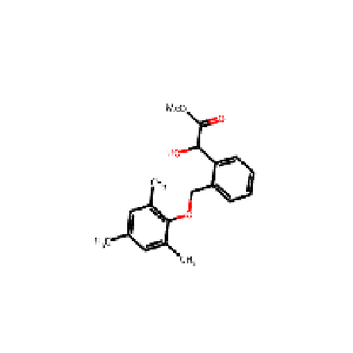 COC(=O)C(O)c1ccccc1COc1c(C)cc(C)cc1C